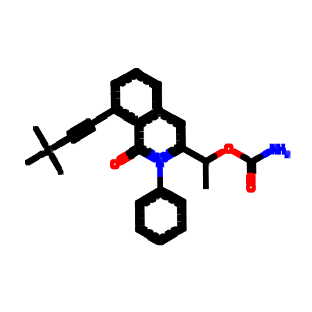 CC(OC(N)=O)c1cc2cccc(C#C[Si](C)(C)C)c2c(=O)n1-c1ccccc1